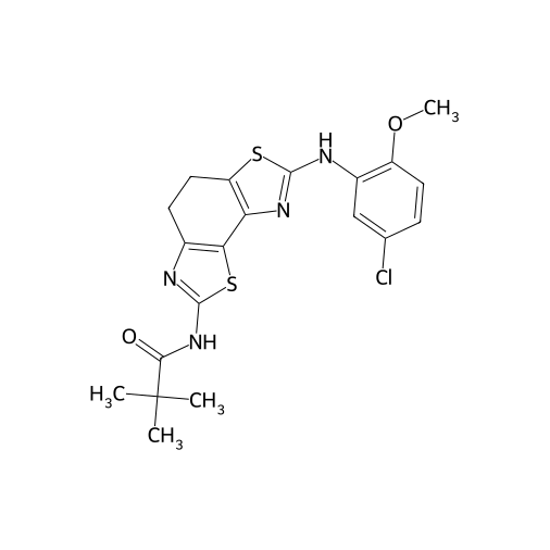 COc1ccc(Cl)cc1Nc1nc2c(s1)CCc1nc(NC(=O)C(C)(C)C)sc1-2